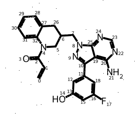 C=CC(=O)N1CC(Cn2nc(-c3cc(O)cc(F)c3)c3c(N)ncnc32)Cc2ccccc21